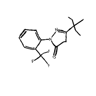 CC(C)(C)C1=NN(c2ccccc2C(F)(F)F)C(=O)C1